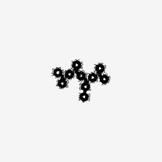 c1ccc(-c2ccc(N(c3ccc(N(c4ccccc4)c4ccccc4)cc3)c3ccc(N(c4ccccc4)c4ccc(N(c5ccccc5)C5CCCCC5)cc4)cc3)cc2)cc1